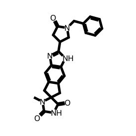 CN1C(=O)NC(=O)C12Cc1cc3nc(C4CC(=O)N(Cc5ccccc5)C4)[nH]c3cc1C2